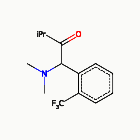 CC(C)C(=O)C(c1ccccc1C(F)(F)F)N(C)C